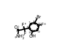 NC(=O)C(F)(F)c1cc(Br)c(F)cc1O